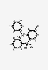 Cc1ccc2c(c1)N(c1ccccc1)c1ccccc1[Si]2(C)C